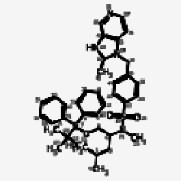 CC(C)CC(CO[Si](c1ccccc1)(c1ccccc1)C(C)(C)C)N(C)S(=O)(=O)c1ccc(CN2c3ccncc3NC2C)cc1